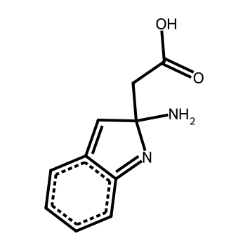 NC1(CC(=O)O)C=c2ccccc2=N1